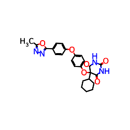 Cc1nnc(-c2ccc(Oc3ccc(OC4(C5CCCCC5)C(=O)NC(=O)NC4=O)cc3)cc2)o1